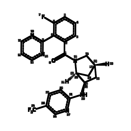 O=C(c1cccc(F)c1-c1ncccn1)N1C[C@@H]2C[C@@H](Nc3ccc(C(F)(F)F)cn3)[C@@H]1C2